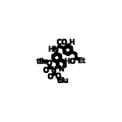 CCC(O)Cc1ccc(C(Nc2ccc3c(N(C(=O)OC(C)(C)C)C(=O)OC(C)(C)C)nccc3c2)C(=O)O)cc1